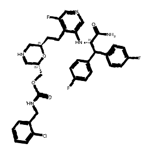 NC(=O)[C@@H](Nc1cncc(F)c1CC[C@@H]1CNC[C@@H](COC(=O)NCc2ccccc2Cl)O1)C(c1ccc(F)cc1)c1ccc(F)cc1